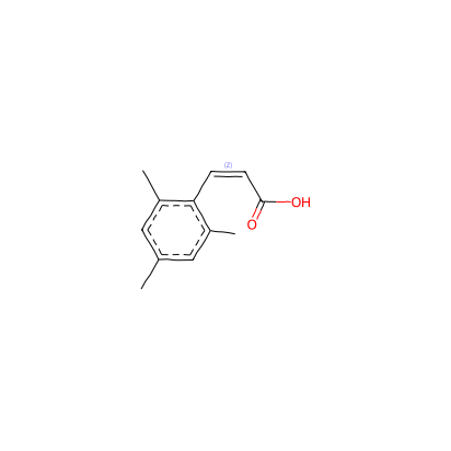 Cc1cc(C)c(/C=C\C(=O)O)c(C)c1